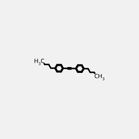 CCCCc1ccc(C#Cc2ccc(CCCC)cc2)cc1